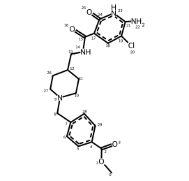 COC(=O)c1ccc(CN2CCC(CNC(=O)c3cc(Cl)c(N)[nH]c3=O)CC2)cc1